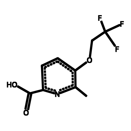 Cc1nc(C(=O)O)ccc1OCC(F)(F)F